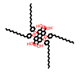 CCCCCCCCCCCCc1ccc(Oc2cc(C(=O)O)c3c(C(=O)O)cc(Oc4ccc(CCCCCCCCCCCC)cc4)c4c5c(Oc6ccc(CCCCCCCCCCCC)cc6)cc(C(=O)O)c6c(C(=O)O)cc(Oc7ccc(CCCCCCCCCCCC)cc7)c(c2c34)c65)cc1